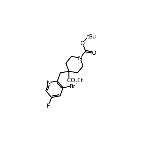 CCOC(=O)C1(Cc2ncc(F)cc2Br)CCN(C(=O)OC(C)(C)C)CC1